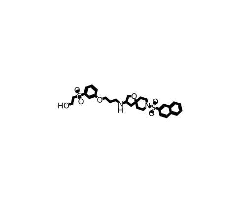 O=S(=O)(CCO)c1cccc(OCCCNC2COC3(CCN(S(=O)(=O)c4ccc5ccccc5c4)CC3)C2)c1